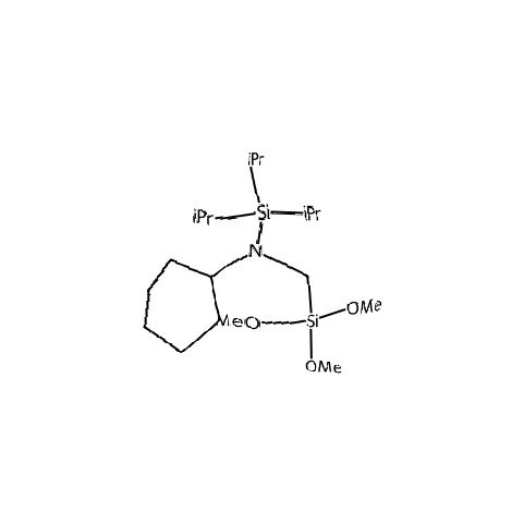 CO[Si](CN(C1CCCCC1)[Si](C(C)C)(C(C)C)C(C)C)(OC)OC